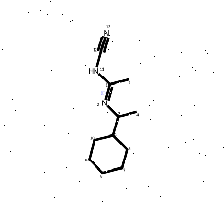 C/C(=N\C(C)C1CCCCC1)NC#N